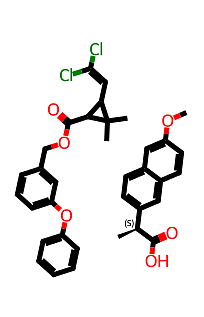 CC1(C)C(C=C(Cl)Cl)C1C(=O)OCc1cccc(Oc2ccccc2)c1.COc1ccc2cc([C@H](C)C(=O)O)ccc2c1